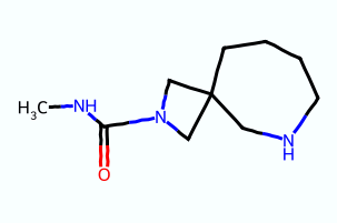 CNC(=O)N1CC2(CCCCNC2)C1